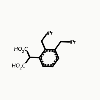 CC(C)Cc1cccc(C(C(=O)O)C(=O)O)c1CC(C)C